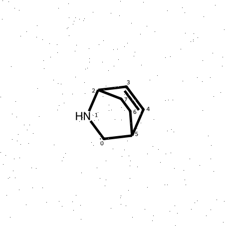 [CH]1NC2C=CC1CC2